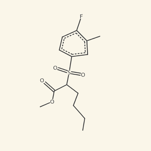 CCCCC(C(=O)OC)S(=O)(=O)c1ccc(F)c(C)c1